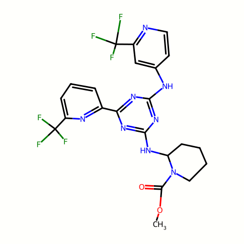 COC(=O)N1CCCCC1Nc1nc(Nc2ccnc(C(F)(F)F)c2)nc(-c2cccc(C(F)(F)F)n2)n1